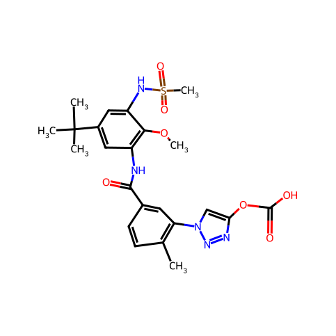 COc1c(NC(=O)c2ccc(C)c(-n3cc(OC(=O)O)nn3)c2)cc(C(C)(C)C)cc1NS(C)(=O)=O